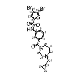 O=C(c1cccc(NS(=O)(=O)c2cc(Br)c(Br)s2)c1)N1CCCN(CC2CC2)CC1